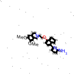 COc1cc2c(cc1OC)CN(CCOc1ccc(-c3cccc(N)n3)c3ccccc13)CC2